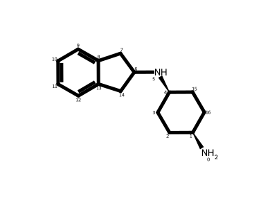 N[C@H]1CC[C@@H](NC2Cc3ccccc3C2)CC1